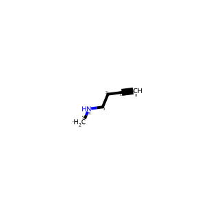 C#CCCN[CH2]